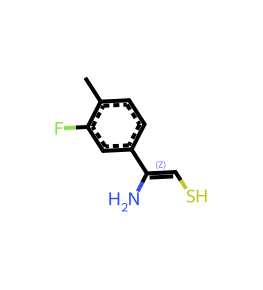 Cc1ccc(/C(N)=C/S)cc1F